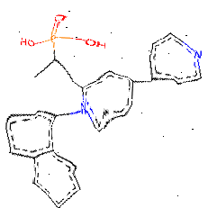 CC(c1cc(-c2ccncc2)cc[n+]1-c1cccc2ccccc12)P(=O)(O)O